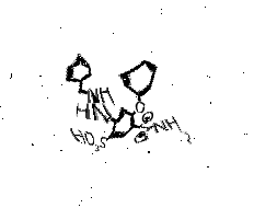 NS(=O)(=O)c1cc(S(=O)(=O)O)c(NNCc2ccccc2)cc1Oc1ccccc1